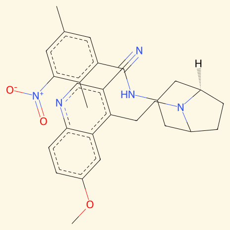 COc1ccc2ncc(C#N)c(CCN3C4CC[C@@H]3CC(NCc3cc(C)cc([N+](=O)[O-])c3C)C4)c2c1